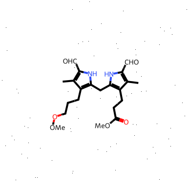 COOCCCc1c(Cc2[nH]c(C=O)c(C)c2CCC(=O)OC)[nH]c(C=O)c1C